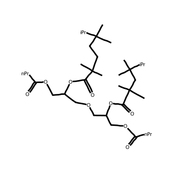 CCCC(=O)OCC(COCC(COC(=O)CCC)OC(=O)C(C)(C)CC(C)(C)C(C)C)OC(=O)C(C)(C)CCC(C)(C)C(C)C